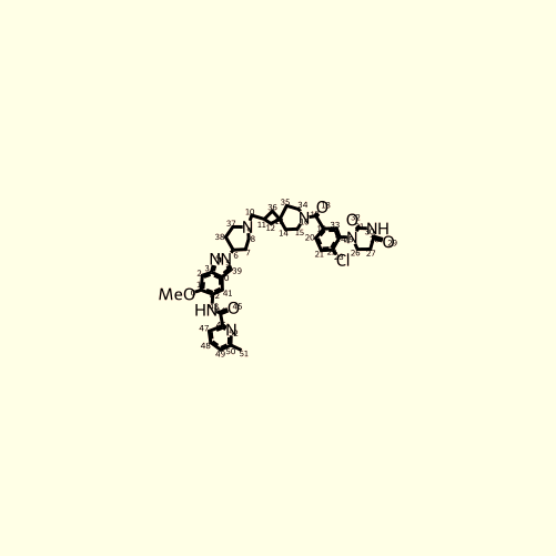 COc1cc2nn(C3CCN(CC4CC5(CCN(C(=O)c6ccc(Cl)c(N7CCC(=O)NC7=O)c6)CC5)C4)CC3)cc2cc1NC(=O)c1cccc(C)n1